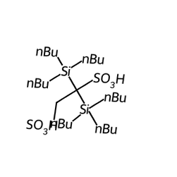 CCCC[Si](CCCC)(CCCC)C(CS(=O)(=O)O)([Si](CCCC)(CCCC)CCCC)S(=O)(=O)O